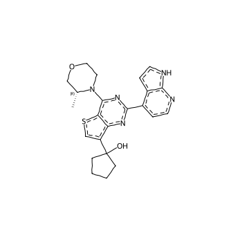 C[C@@H]1COCCN1c1nc(-c2ccnc3[nH]ccc23)nc2c(C3(O)CCCC3)csc12